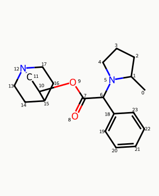 CC1CCCN1C(C(=O)OC1CN2CCC1CC2)c1ccccc1